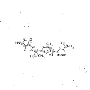 CNC(CCC(N)=O)C(=O)NC(C)(C)CCOC(C)(S)CCN1C(=O)CC(S)C1=O